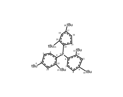 CC(C)(C)c1ccc(P(c2ccc(C(C)(C)C)cc2C(C)(C)C)c2ccc(C(C)(C)C)cc2C(C)(C)C)c(C(C)(C)C)c1